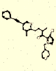 Cc1cc(C#Cc2ccccc2)cnc1CCC(C)C(=O)c1c(Cl)ccn1CC1CCOCC1